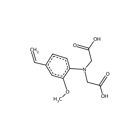 C=Cc1ccc(N(CC(=O)O)CC(=O)O)c(OC)c1